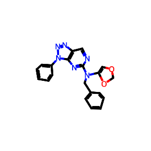 C1=C(N(Cc2ccccc2)c2ncc3nnn(-c4ccccc4)c3n2)OCO1